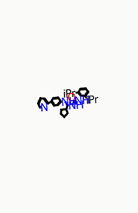 CC(C)c1cccc(C(C)C)c1NC(=O)NC(Nc1ccc(-c2ccccn2)cc1)C1CCCC1